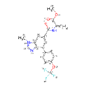 C=C(NC(=O)c1cc(-c2ccc(OC(F)(F)F)cc2)c2ncn(C)c2c1)C(=O)OC